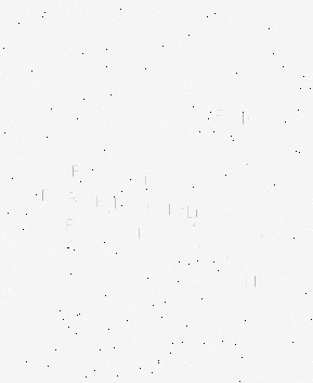 F[B-](F)(F)F.F[B-](F)(F)F.F[B-](F)(F)F.O=C(O)Cc1cccs1.[LiH]